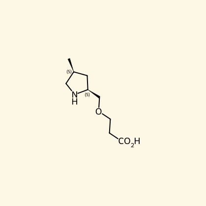 C[C@@H]1CN[C@H](COCCC(=O)O)C1